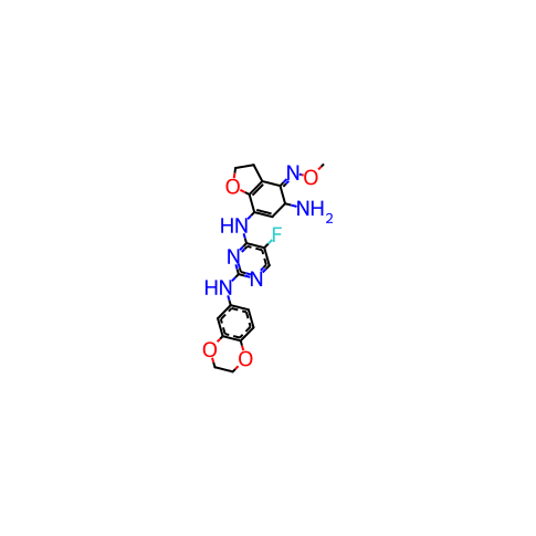 CON=C1C2=C(OCC2)C(Nc2nc(Nc3ccc4c(c3)OCCO4)ncc2F)=CC1N